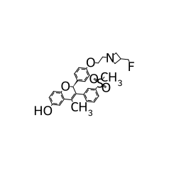 CC1=C(c2cccc(S(C)(=O)=O)c2)[C@H](c2ccc(OCCN3CC(CF)C3)cc2)Oc2ccc(O)cc21